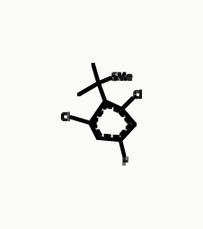 CSC(C)(C)c1c(Cl)cc(F)cc1Cl